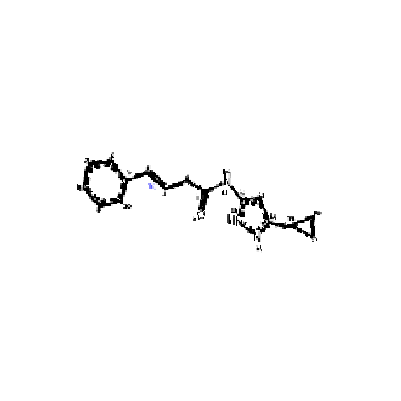 O=C(C/C=C/c1ccccc1)Nc1cc(C2CC2)n[nH]1